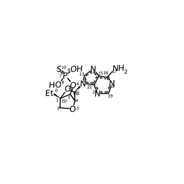 CC[C@]12COC(C1OP(O)(O)=S)[C@H](n1cnc3c(N)ncnc31)O2